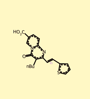 CCCCc1c(/C=C/c2cccs2)nc2ccc(C(=O)O)cn2c1=O